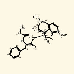 COc1ccc2c3c1O[C@H]1C[C@@H](OC(=O)C(Cc4ccccc4)NC(=O)OC(C)(C)C)C(C)[C@@]31CCN(C)C2